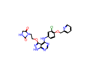 O=C1CNC(=O)N1CCOc1n[nH]c2ncnc(Nc3ccc(OCc4ccccn4)c(Cl)c3)c12